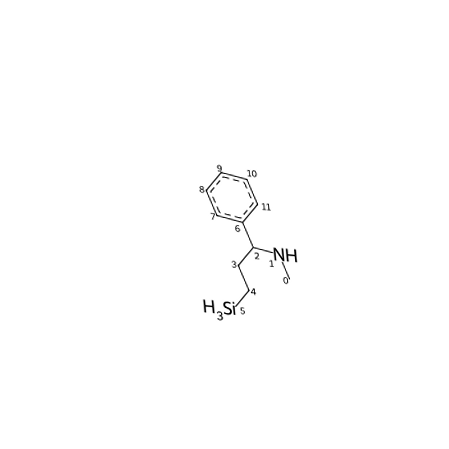 CNC(CC[SiH3])c1ccccc1